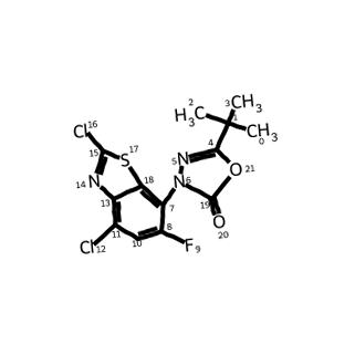 CC(C)(C)c1nn(-c2c(F)cc(Cl)c3nc(Cl)sc23)c(=O)o1